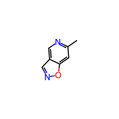 Cc1cc2oncc2cn1